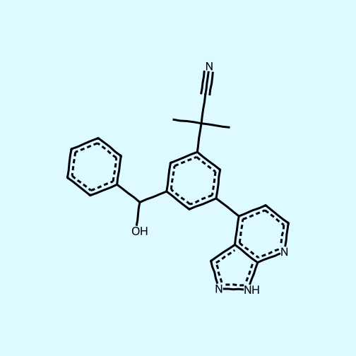 CC(C)(C#N)c1cc(-c2ccnc3[nH]ncc23)cc(C(O)c2ccccc2)c1